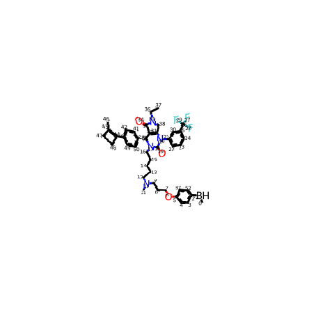 CBc1ccc(OCCCN(C)CCCCCN2C(=O)N(c3cccc(C(F)(F)F)c3)C3=C(C(=O)N(CC)C3)[C@H]2c2ccc(C3=C(C)CC3)cc2)cc1